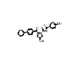 N=C1C[C@@H](c2noc(-c3ccc(O)nc3)n2)N(C(=O)c2ccc(-c3ccccc3)cc2)C1